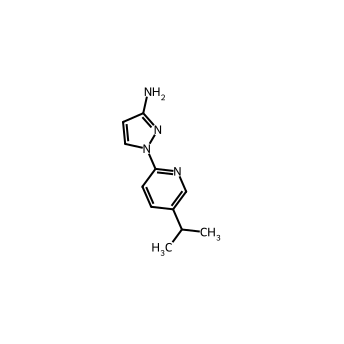 CC(C)c1ccc(-n2ccc(N)n2)nc1